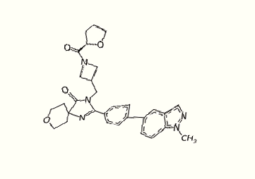 Cn1ncc2cc(-c3ccc(C4=NC5(CCOCC5)C(=O)N4CC4CN(C(=O)[C@H]5CCCO5)C4)cc3)ccc21